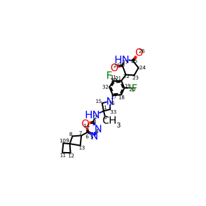 CC1(Nc2nnc(C3CC4(CCC4)C3)o2)CN(c2cc(F)c(C3CCC(=O)NC3=O)c(F)c2)C1